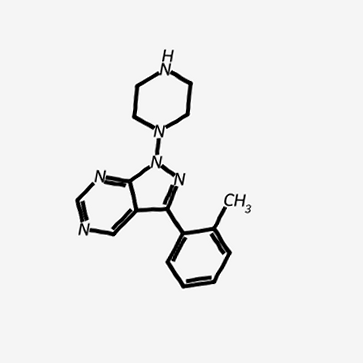 Cc1ccccc1-c1nn(N2CCNCC2)c2ncncc12